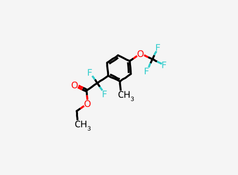 CCOC(=O)C(F)(F)c1ccc(OC(F)(F)F)cc1C